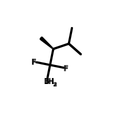 BC(F)(F)[C@@H](C)C(C)C